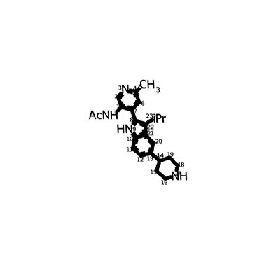 CC(=O)Nc1cnc(C)cc1-c1[nH]c2ccc(C3CCNCC3)cc2c1C(C)C